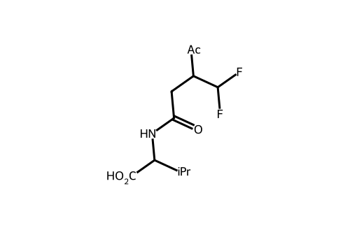 CC(=O)C(CC(=O)NC(C(=O)O)C(C)C)C(F)F